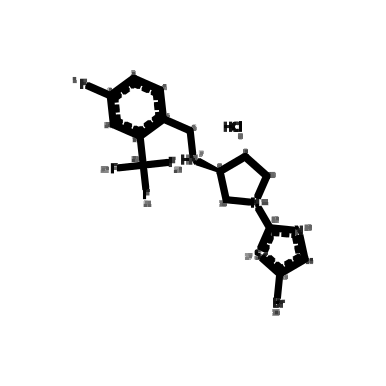 Cl.Fc1ccc(CN[C@H]2CCN(c3ncc(Br)s3)C2)c(C(F)(F)F)c1